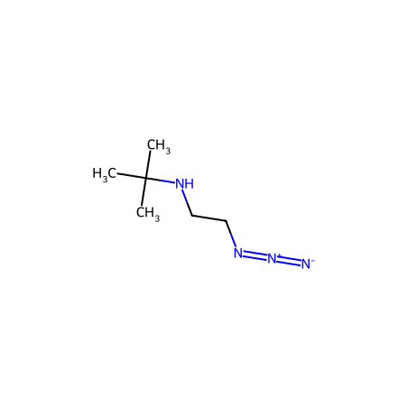 CC(C)(C)NCCN=[N+]=[N-]